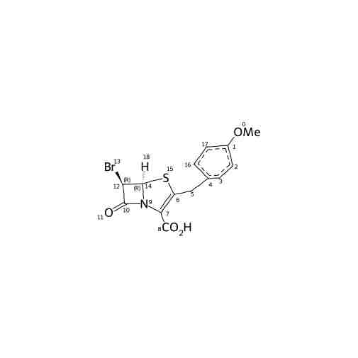 COc1ccc(CC2=C(C(=O)O)N3C(=O)[C@@H](Br)[C@H]3S2)cc1